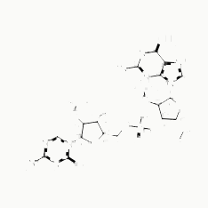 C=C1NC(N)=Nc2c1ncn2[C@@H]1O[C@H](CO)[C@H](OP(=O)(O)OC[C@H]2O[C@@H](n3cnc(N)nc3=O)C(OCCCC)[C@H]2O)C1OCCCC